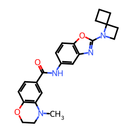 CN1CCOc2ccc(C(=O)Nc3ccc4oc(N5CCC56CCC6)nc4c3)cc21